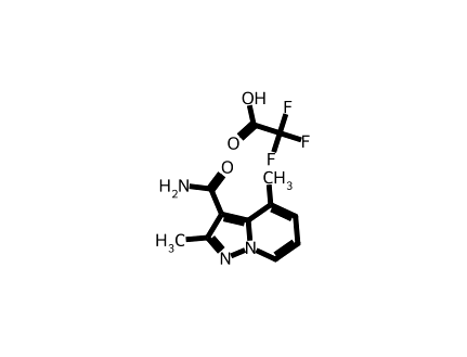 Cc1nn2cccc(C)c2c1C(N)=O.O=C(O)C(F)(F)F